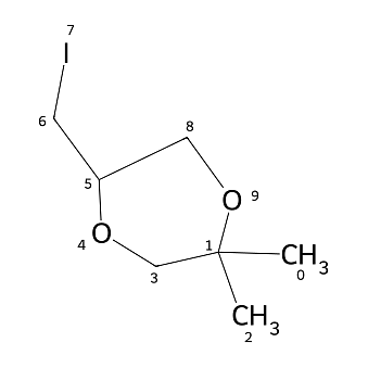 CC1(C)COC(CI)CO1